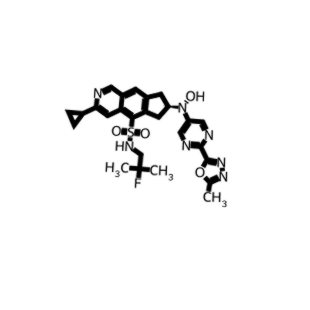 Cc1nnc(-c2ncc(N(O)[C@@H]3Cc4cc5cnc(C6CC6)cc5c(S(=O)(=O)NCC(C)(C)F)c4C3)cn2)o1